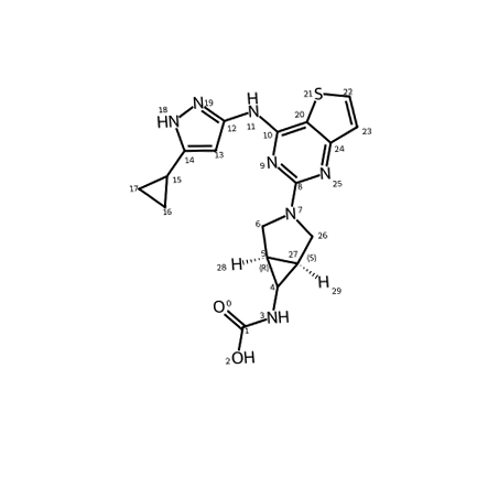 O=C(O)NC1[C@H]2CN(c3nc(Nc4cc(C5CC5)[nH]n4)c4sccc4n3)C[C@@H]12